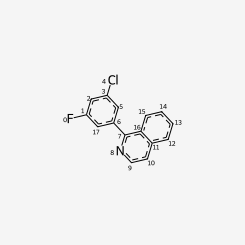 Fc1cc(Cl)cc(-c2nccc3ccccc23)c1